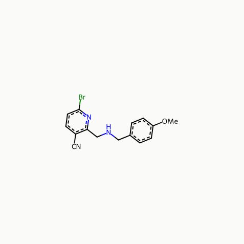 COc1ccc(CNCc2nc(Br)ccc2C#N)cc1